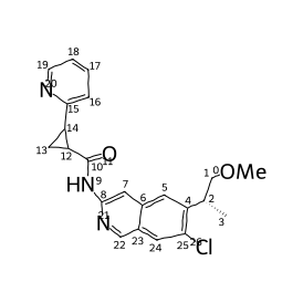 COC[C@H](C)c1cc2cc(NC(=O)C3CC3c3ccccn3)ncc2cc1Cl